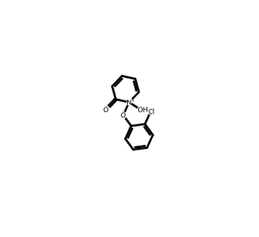 O=C1C=CC=C[N+]1(O)Oc1ccccc1Cl